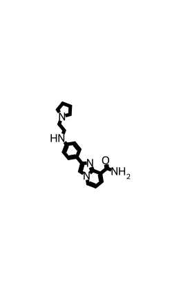 NC(=O)c1cccn2cc(-c3ccc(NCCN4CCCC4)cc3)nc12